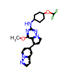 COc1nc(NC2CCC(OC(F)F)CC2)nn2ccc(-c3ccn4nccc4c3)c12